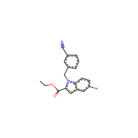 CCOC(=O)c1cc2cc(F)ccc2n1Cc1cccc(C#N)c1